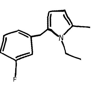 CCn1c(C)ccc1-c1cccc(F)c1